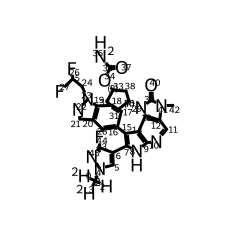 [2H]C([2H])([2H])n1cc(-c2[nH]c3ncc4c(c3c2-c2ccc3c(cnn3CC(F)F)c2)n([C@@H]2CC[C@@H](OC(N)=O)C2)c(=O)n4C)c(F)n1